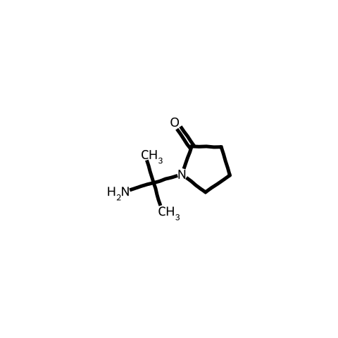 CC(C)(N)N1CCCC1=O